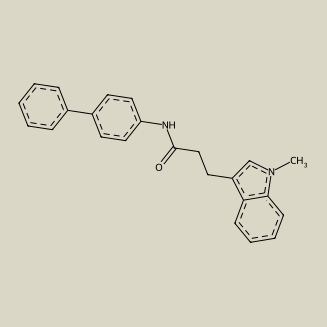 Cn1cc(CCC(=O)Nc2ccc(-c3ccccc3)cc2)c2ccccc21